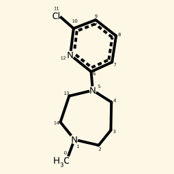 CN1CCCN(c2cccc(Cl)n2)CC1